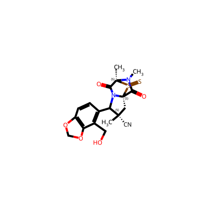 CN1C(=O)[C@@]23C[C@](C)(C#N)C(c4ccc5c(c4CO)OCO5)N2C(=O)[C@]1(C)S3=S